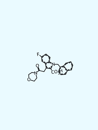 O=C(O)c1c(CC(=O)N2CCOCC2)c2cc(F)ccc2n1Cc1cccc2ccccc12